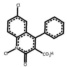 O=C(O)c1c(-c2ccccc2)c2cc(Cl)ccc2n(Cl)c1=O